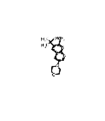 CC(C)(C)C(C)(C)c1cc2cc(N3CCOCC3)cnc2nc1C(F)(F)F